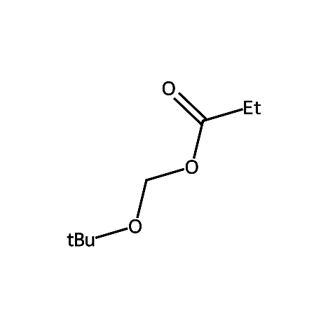 CCC(=O)OCOC(C)(C)C